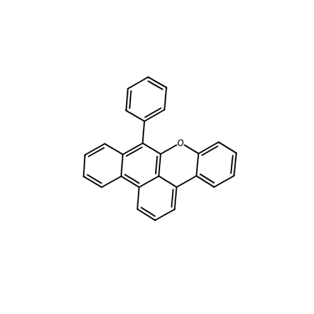 c1ccc(-c2c3c4c(cccc4c4ccccc24)-c2ccccc2O3)cc1